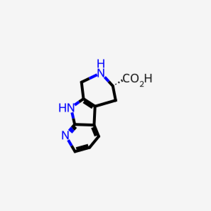 O=C(O)[C@@H]1Cc2c([nH]c3ncccc23)CN1